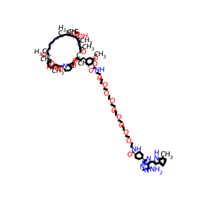 CO[C@H]1C[C@@H]2CC[C@@H](C)[C@@](O)(O2)C(=O)C(=O)N2CCCC[C@H]2C(=O)O[C@H]([C@H](C)C[C@@H]2CC[C@@H](OC(=O)NCCOCCOCCOCCOCCOCCOCCOCCOCCOCCNC(=O)[C@H]3CC[C@H](c4nc(-c5cc6cccc(C)c6[nH]5)c5c(N)ncnn54)CC3)[C@H](OC)C2)CC(=O)[C@H](C)/C=C(\C)[C@@H](O)[C@@H](OC)C(=O)[C@H](C)C[C@H](C)/C=C/C=C/C=C/1C